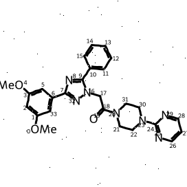 COc1cc(OC)cc(-c2nc(-c3ccccc3)n(CC(=O)N3CCN(c4ncccn4)CC3)n2)c1